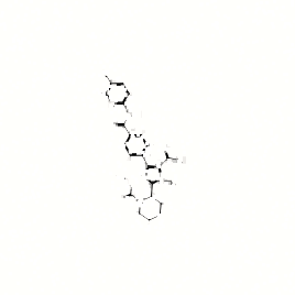 CC(C)(C)OC(=O)N1CCCCC1c1nc(-c2ccc(C(=O)Nc3ccc(Cl)cn3)cc2)c(C(N)=O)n1N